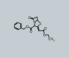 CCOC(=O)C=C1SC2CC(=O)N2C1C(=O)OCc1ccccc1